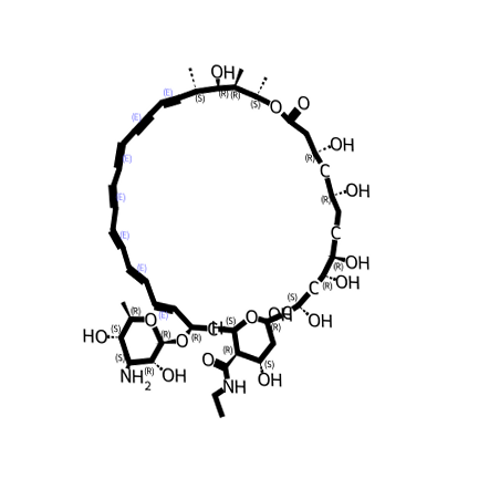 CCNC(=O)[C@H]1[C@@H]2C[C@@H](O[C@@H]3O[C@H](C)[C@@H](O)[C@H](N)[C@H]3O)/C=C/C=C/C=C/C=C/C=C/C=C/C=C/[C@H](C)[C@@H](O)[C@@H](C)[C@H](C)OC(=O)C[C@H](O)C[C@H](O)CC[C@@H](O)[C@H](O)C[C@H](O)C[C@](O)(C[C@@H]1O)O2